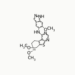 COC[C@]1(OC)CCc2c(sc3ncnc(Nc4cc5cn[nH]c5cc4OC)c23)C1